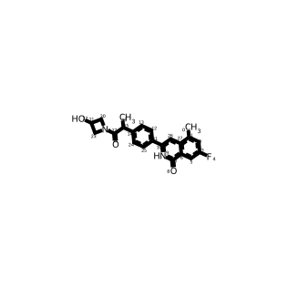 Cc1cc(F)cc2c(=O)[nH]c(-c3ccc(C(C)C(=O)N4CC(O)C4)cc3)cc12